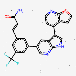 NC(=O)C=Cc1cc(-c2cnc3[nH]cc(-c4ccnc5occc45)c3c2)cc(C(F)(F)F)c1